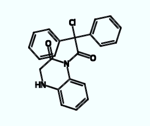 O=C1CNc2ccccc2N1C(=O)C(Cl)(c1ccccc1)c1ccccc1